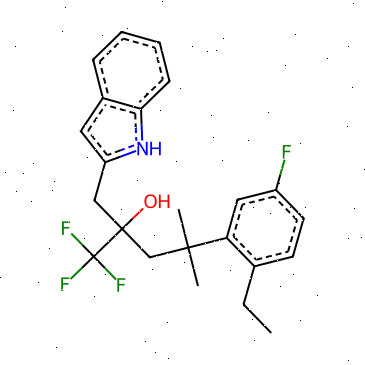 CCc1ccc(F)cc1C(C)(C)CC(O)(Cc1cc2ccccc2[nH]1)C(F)(F)F